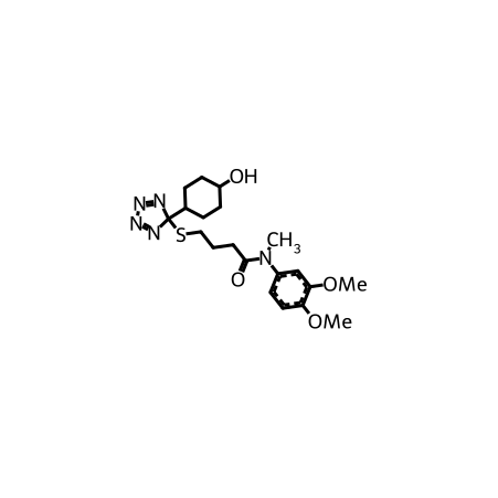 COc1ccc(N(C)C(=O)CCCSC2(C3CCC(O)CC3)N=NN=N2)cc1OC